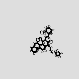 Cc1cc2ccccc2c2ccc3c(c12)C(=O)C(CCc1ccccc1Cl)C(=O)C3CCC(F)(F)F.c1ccsc1